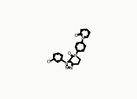 O=C1c2c(nnn2-c2cccc(Cl)c2)CCN1c1ccc(-n2ccccc2=O)cc1